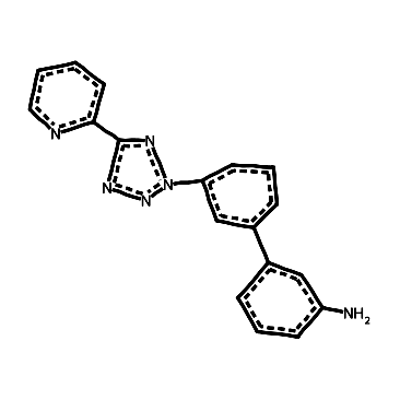 Nc1cccc(-c2cccc(-n3nnc(-c4ccccn4)n3)c2)c1